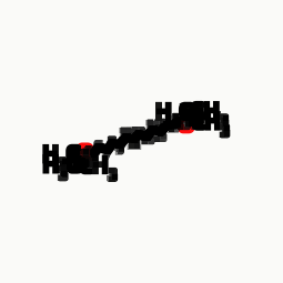 C[Si](C)(C)OCCCCCCCCCCCCCCO[Si](C)(C)C